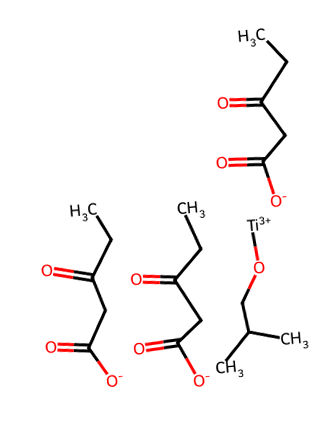 CC(C)C[O][Ti+3].CCC(=O)CC(=O)[O-].CCC(=O)CC(=O)[O-].CCC(=O)CC(=O)[O-]